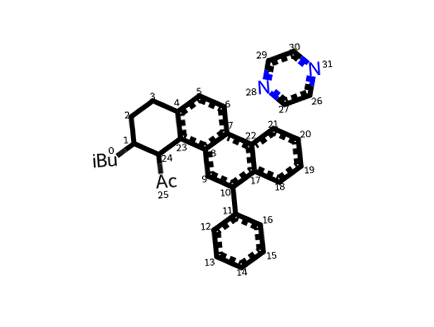 CCC(C)C1CCc2ccc3c(cc(-c4ccccc4)c4ccccc43)c2C1C(C)=O.c1cnccn1